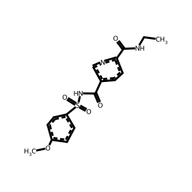 CCNC(=O)c1ccc(C(=O)NS(=O)(=O)c2ccc(OC)cc2)cn1